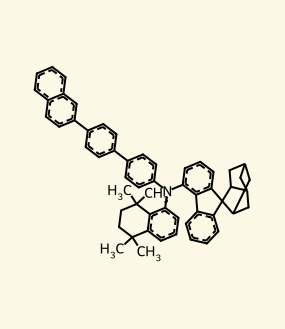 CC1(C)CCC(C)(C)c2c(N(c3ccc(-c4ccc(-c5ccc6ccccc6c5)cc4)cc3)c3cccc4c3-c3ccccc3C43C4CC5CC(C4)C3C5)cccc21